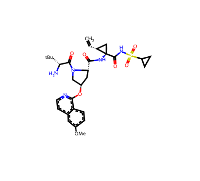 C=C[C@@H]1C[C@]1(NC(=O)[C@@H]1C[C@@H](Oc2nccc3cc(OC)ccc23)CN1C(=O)[C@H](N)C(C)(C)C)C(=O)NS(=O)(=O)C1CC1